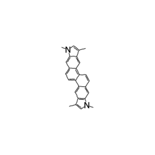 Cc1cn(C)c2cc3ccc4c5cc6c(C)cn(C)c6cc5ccc4c3cc12